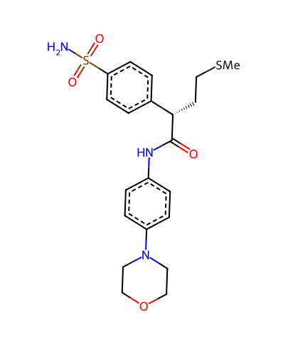 CSCC[C@H](C(=O)Nc1ccc(N2CCOCC2)cc1)c1ccc(S(N)(=O)=O)cc1